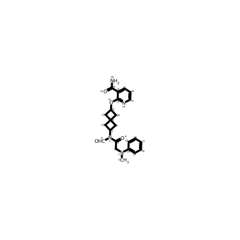 CN(CC(=O)N(C=O)C1CC2(CC(Oc3ncccc3C(N)=O)C2)C1)c1ccccc1